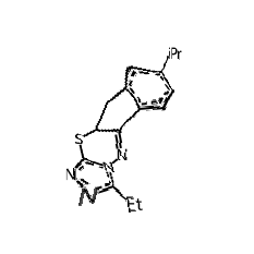 CCc1nnc2n1N=C1c3ccc(C(C)C)cc3CC1S2